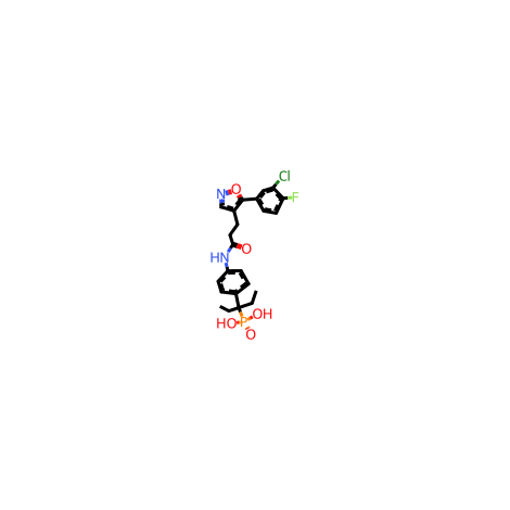 CCC(CC)(c1ccc(NC(=O)CCc2cnoc2-c2ccc(F)c(Cl)c2)cc1)P(=O)(O)O